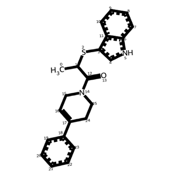 CC(Sc1c[nH]c2ccccc12)C(=O)N1CC=C(c2ccccc2)CC1